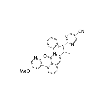 COc1cncc(-c2cccc3cc(C(C)Nc4ncc(C#N)cn4)n(-c4ccccc4)c(=O)c23)c1